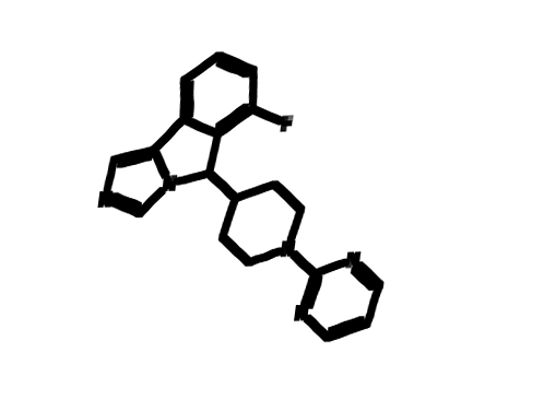 Fc1cccc2c1C(C1CCN(c3ncccn3)CC1)n1cncc1-2